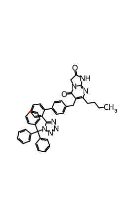 CCCCc1nc2n(c(=O)c1Cc1ccc(-c3ccccc3-c3nnnn3C(c3ccccc3)(c3ccccc3)c3ccccc3)cc1)CC(=O)N2